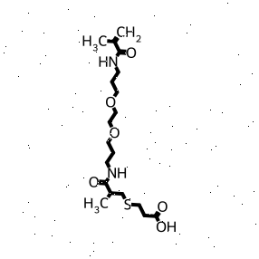 C=C(C)C(=O)NCCCOCCOCCCNC(=O)C(C)CSCCC(=O)O